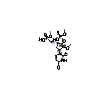 CO[C@@H]1[C@H](OP(O)(=S)OC)[C@@H](/C=C/P(=O)(O)OC)C[C@@H]1n1ccc(=O)[nH]c1=O